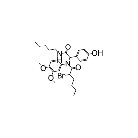 CCCCCNC(=O)C(c1ccc(O)cc1)N(C(=O)C(Br)CCCC)c1ccc(OC)c(OC)c1